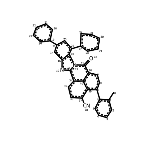 Cc1ccccc1-c1ccc2c(=O)n3c(nc4cc(-c5ccccc5)cc(-c5ccccc5)c43)c3ccc(C#N)c1c23